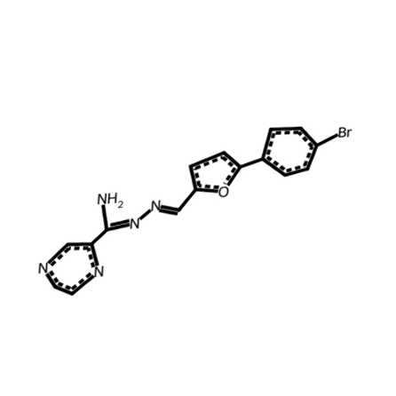 NC(=NN=Cc1ccc(-c2ccc(Br)cc2)o1)c1cnccn1